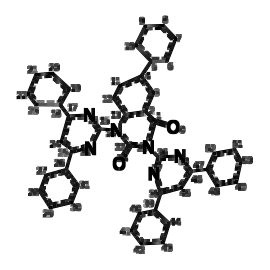 O=c1c2cc(-c3ccccc3)ccc2n(-c2nc(-c3ccccc3)cc(-c3ccccc3)n2)c(=O)n1-c1nc(-c2ccccc2)cc(-c2ccccc2)n1